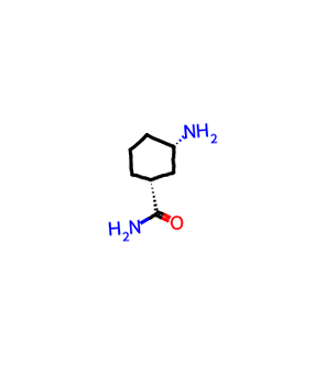 NC(=O)[C@@H]1CCC[C@H](N)C1